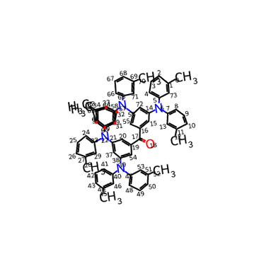 Cc1cccc(N(c2cccc(C)c2)c2cc(C(=O)c3cc(N(c4cccc(C)c4)c4cccc(C)c4)cc(N(c4cccc(C)c4)c4cccc(C)c4)c3)cc(N(c3cccc(C)c3)c3cccc(C)c3)c2)c1